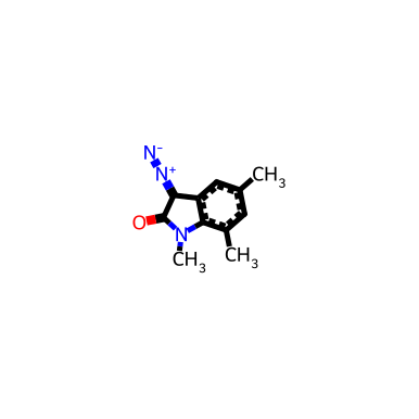 Cc1cc(C)c2c(c1)C(=[N+]=[N-])C(=O)N2C